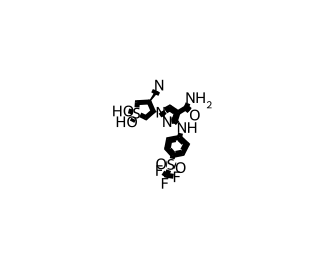 N#C[C@@H]1CS(O)(O)C[C@H]1n1cc(C(N)=O)c(Nc2ccc(S(=O)(=O)C(F)(F)F)cc2)n1